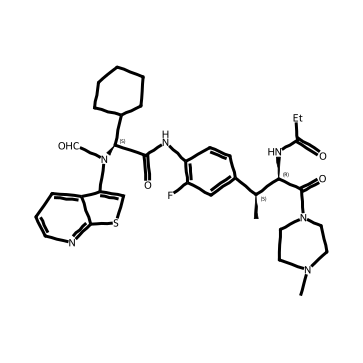 CCC(=O)N[C@@H](C(=O)N1CCN(C)CC1)[C@@H](C)c1ccc(NC(=O)[C@H](C2CCCCC2)N(C=O)c2csc3ncccc23)c(F)c1